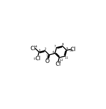 O=C(C=C(Cl)Cl)c1ccc(Cl)cc1Cl